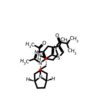 CC(=O)N[C@@H](CCN1[C@@H]2CC[C@H]1C[C@@H](n1c(C)nc3c1CCN(C(=O)C(C)C)C3)C2)c1cc(C)cs1